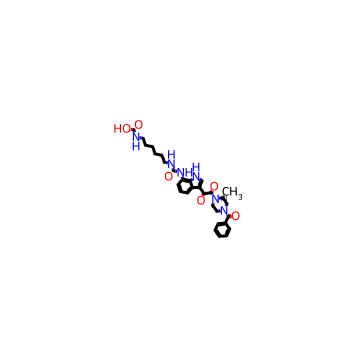 C[C@@H]1CN(C(=O)c2ccccc2)CCN1C(=O)C(=O)c1c[nH]c2c(NC(=O)NCCCCCCNC(=O)O)cccc12